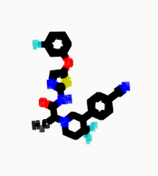 CC(C(=O)Nc1ncc(Oc2cccc(F)c2)s1)N1CCC(F)(F)C(c2ccc(C#N)cc2)C1